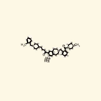 Cc1ccccc1CN1CCC(CCCC(=O)c2ccc3c(c2)CCN(Cc2ccccc2C(=O)N2CCN(C)CC2)CC3)CC1.Cl.Cl.Cl